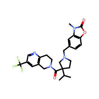 CC(C)C1(C(=O)N2CCc3ncc(C(F)(F)F)cc3C2)CCN(Cc2ccc3oc(=O)n(C)c3c2)C1